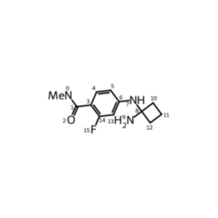 CNC(=O)c1ccc(NC2(N)CCC2)cc1F